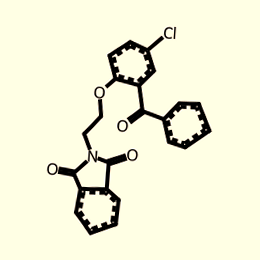 O=C(c1ccccc1)c1cc(Cl)ccc1OCCN1C(=O)c2ccccc2C1=O